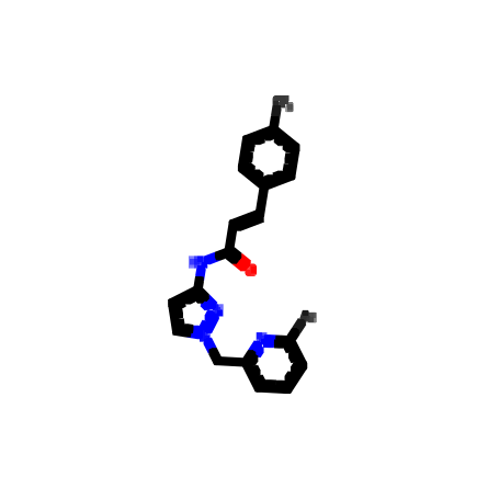 CC(=O)c1cccc(Cn2ccc(NC(=O)C=Cc3ccc(C(F)(F)F)cc3)n2)n1